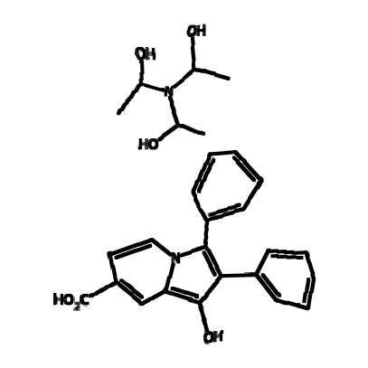 CC(O)N(C(C)O)C(C)O.O=C(O)c1ccn2c(-c3ccccc3)c(-c3ccccc3)c(O)c2c1